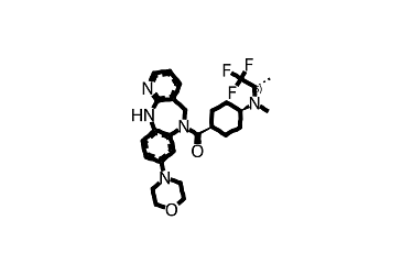 C[C@H](N(C)[C@H]1CC[C@@H](C(=O)N2Cc3cccnc3Nc3ccc(N4CCOCC4)cc32)CC1)C(F)(F)F